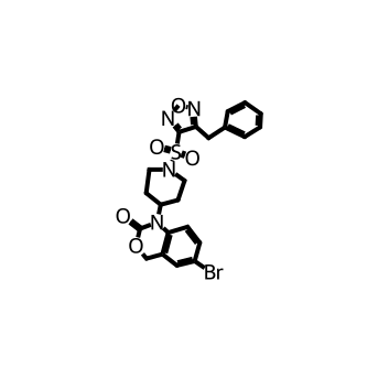 O=C1OCc2cc(Br)ccc2N1C1CCN(S(=O)(=O)c2nonc2Cc2ccccc2)CC1